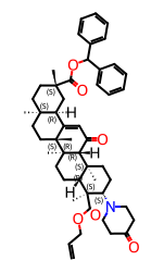 C=CCOC(=O)[C@]1(C)[C@@H](N2CCC(=O)CC2)CC[C@@]2(C)[C@H]1CC[C@]1(C)[C@@H]2C(=O)C=C2[C@@H]3C[C@@](C)(C(=O)OC(c4ccccc4)c4ccccc4)CC[C@]3(C)CC[C@]21C